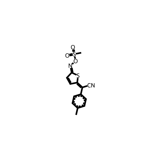 Cc1ccc(C(C#N)=C2C=CC(=NOS(C)(=O)=O)S2)cc1